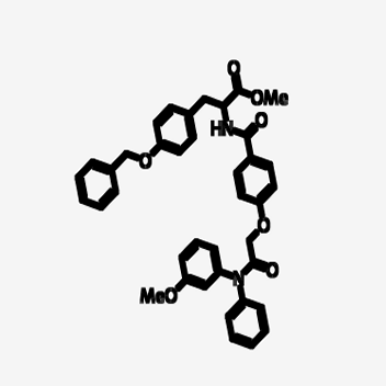 COC(=O)C(Cc1ccc(OCc2ccccc2)cc1)NC(=O)c1ccc(OCC(=O)N(c2ccccc2)c2cccc(OC)c2)cc1